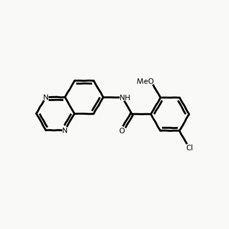 COc1ccc(Cl)cc1C(=O)Nc1ccc2nccnc2c1